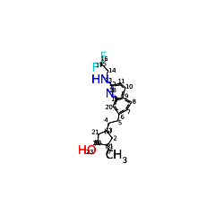 C[C@@H]1C[C@H](CCc2ccc3ccc(NCC(F)F)nc3c2)C[C@H]1O